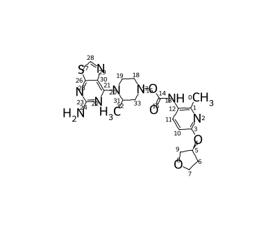 Cc1nc(O[C@H]2CCOC2)ccc1NC(=O)ON1CCN(c2nc(N)nc3scnc23)C(C)C1